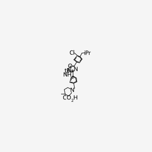 CC(C)(C)N.CC(C)Cc1ccc(-c2nc(-c3ccc(CN4CCC(C)(C(=O)O)CC4)cc3)no2)cc1Cl